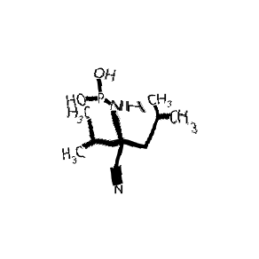 CC(C)CC(C#N)(NP(O)O)C(C)C